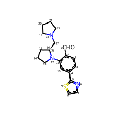 O=Cc1ccc(-c2nccs2)cc1N1CCC[C@H]1CN1CCCC1